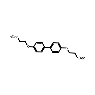 CCCCCCCCCCCCSc1ccc(-c2ccc(SCCCCCCCCCCCC)cc2)cc1